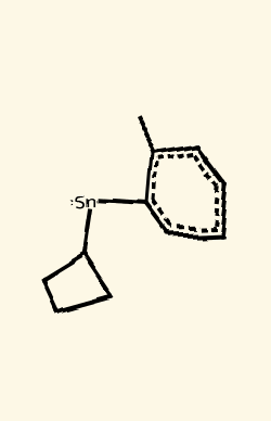 Cc1cccc[c]1[Sn][CH]1CCC1